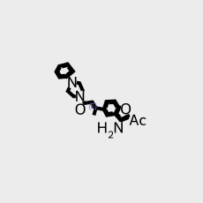 CC(=O)c1oc2ccc(/C(C)=C/C(=O)N3CCN(c4ccccc4)CC3)cc2c1N